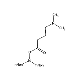 CCCCCCCCCN(CCCCCCCCC)OC(=O)CCCN(C)C